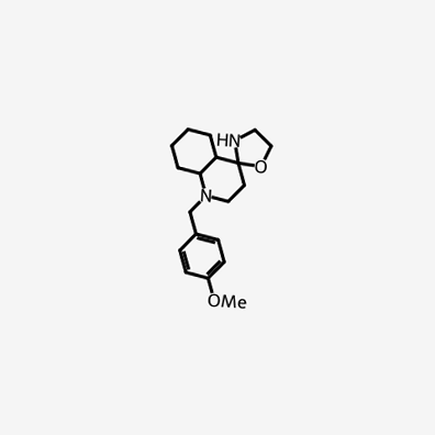 COc1ccc(CN2CCC3(NCCO3)C3CCCCC32)cc1